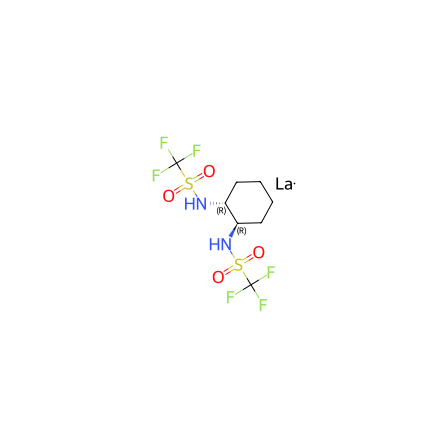 O=S(=O)(N[C@@H]1CCCC[C@H]1NS(=O)(=O)C(F)(F)F)C(F)(F)F.[La]